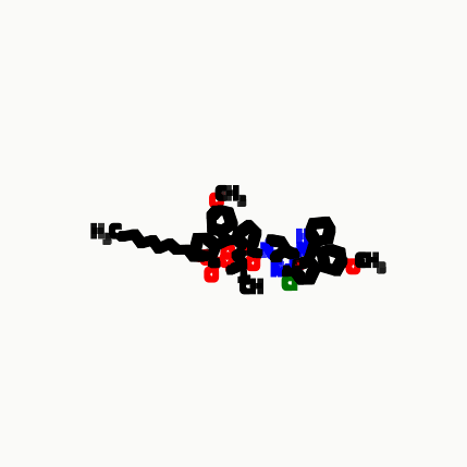 C#C[C@]1(COC(=O)OCCCCCCCCCC)O[C@@H](n2ccc3c(NC(c4ccccc4)(c4ccccc4)c4ccc(OC)cc4)nc(Cl)nc32)C[C@@H]1OC(c1ccccc1)(c1ccccc1)c1ccc(OC)cc1